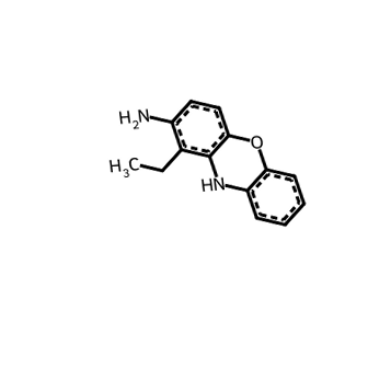 CCc1c(N)ccc2c1Nc1ccccc1O2